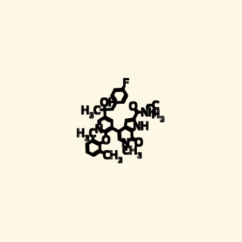 CCNC(=O)c1cc2c(-c3cc(C(C)(O)Cc4ccc(F)cc4)cnc3Oc3c(C)cccc3C)cn(C)c(=O)c2[nH]1